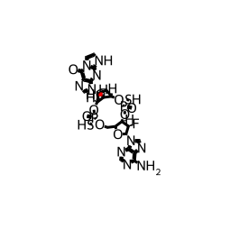 Nc1ncnc2c1ncn2[C@@H]1OC2COP(=O)(S)O[C@@H]3[C@H](O)[C@H](C[C@H]3n3cnc4c(=O)n5cc[nH]c5nc43)OP(=O)(S)O[C@H]2[C@H]1F